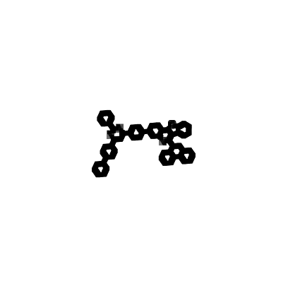 c1ccc(-c2ccc(-c3cc(-c4ccc(-c5ccc6c(c5)nc(-c5cc7ccccc7c7ccccc57)c5c7ccccc7oc65)cc4)nc(-c4ccccc4)n3)cc2)cc1